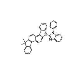 CC1(C)c2ccccc2-c2c1ccc1c2ccc2c1c1ccccc1n2-c1nc2ccccc2n1-c1ccccc1